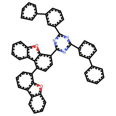 c1ccc(-c2cccc(-c3nc(-c4cccc(-c5ccccc5)c4)nc(-c4ccc(-c5cccc6c5oc5ccccc56)c5c4oc4ccccc45)n3)c2)cc1